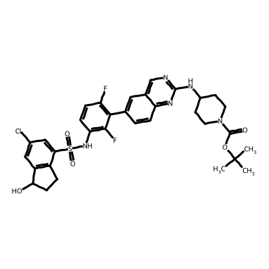 CC(C)(C)OC(=O)N1CCC(Nc2ncc3cc(-c4c(F)ccc(NS(=O)(=O)c5cc(Cl)cc6c5CCC6O)c4F)ccc3n2)CC1